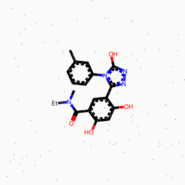 CCN(C)C(=O)c1cc(-c2nnc(O)n2-c2cccc(C)c2)c(O)cc1O